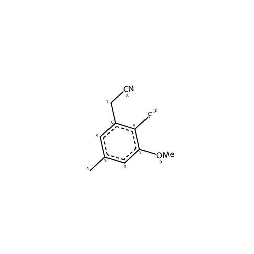 COc1cc(C)cc(CC#N)c1F